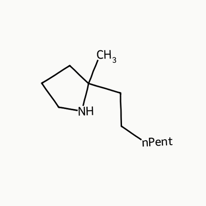 CCCCCCCC1(C)CCCN1